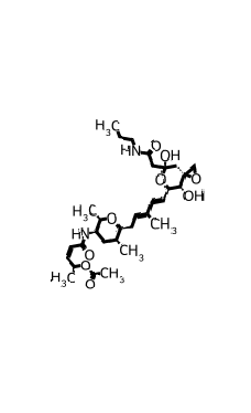 CCCNC(=O)C[C@]1(O)C[C@@]2(CO2)[C@H](O)[C@@H](/C=C/C(C)=C/C[C@@H]2O[C@H](C)[C@H](NC(=O)/C=C\[C@H](C)OC(C)=O)C[C@@H]2C)O1